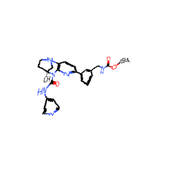 CC(C)(C)OC(=O)NCc1cccc(-c2ccc3c(n2)N(C(=O)Nc2ccncc2)[C@@]2(C)CCN3C2)c1